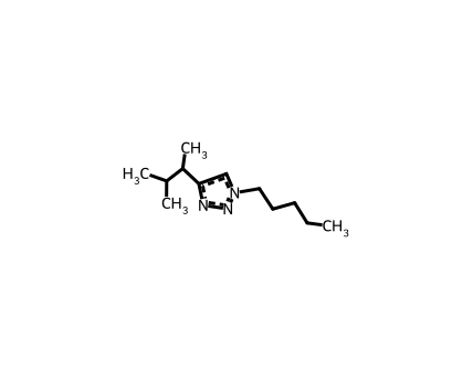 CCCCCn1cc(C(C)C(C)C)nn1